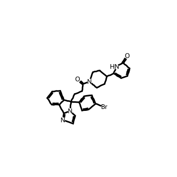 O=C(CCC1(c2ccc(Br)cc2)c2ccccc2-c2nccn21)N1CCC(c2cccc(=O)[nH]2)CC1